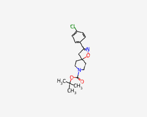 CC(C)(C)OC(=O)N1CCC2(CC1)CC(c1ccc(Cl)cc1)=NO2